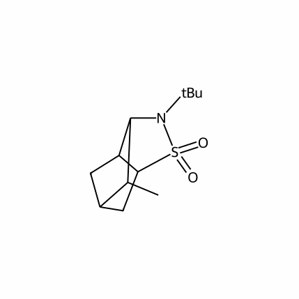 CC1C2CC3C1N(C(C)(C)C)S(=O)(=O)C3C2